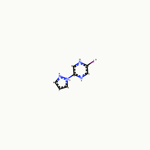 Ic1cnc(-n2cccn2)cn1